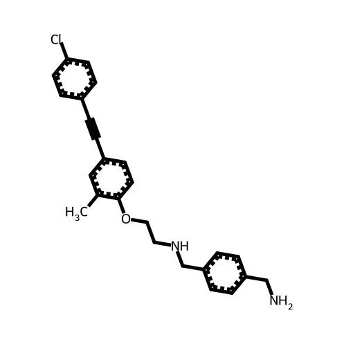 Cc1cc(C#Cc2ccc(Cl)cc2)ccc1OCCNCc1ccc(CN)cc1